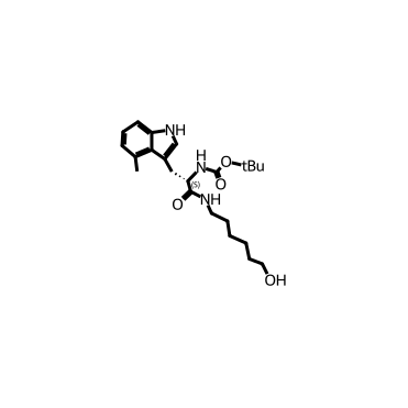 Cc1cccc2[nH]cc(C[C@H](NC(=O)OC(C)(C)C)C(=O)NCCCCCCO)c12